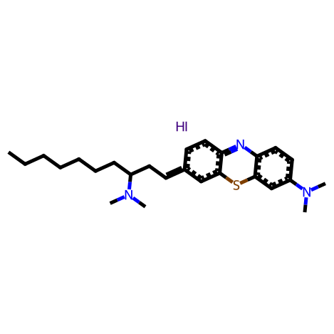 CCCCCCCC(CC=c1ccc2c(c1)Sc1cc(N(C)C)ccc1N=2)N(C)C.I